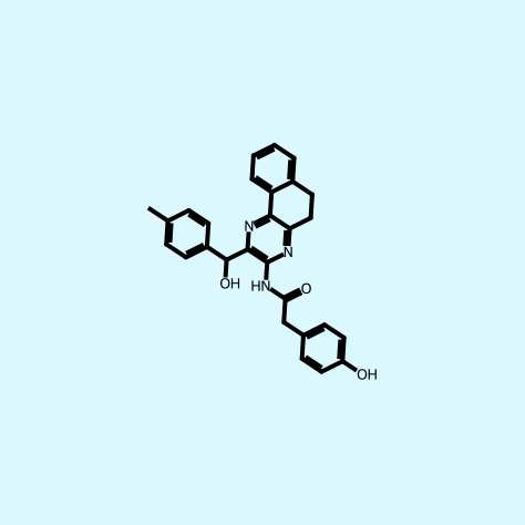 Cc1ccc(C(O)c2nc3c(nc2NC(=O)Cc2ccc(O)cc2)CCc2ccccc2-3)cc1